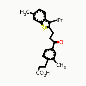 Cc1ccc2c(C(C)C)c(CCC(=O)c3ccc(CCC(=O)O)c(C)c3)sc2c1